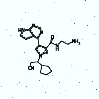 N#CCC(C1CCCC1)n1cc(-c2ncnc3[nH]ccc23)c(C(=O)NCCN)n1